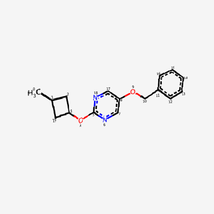 CC1CC(Oc2ncc(OCc3ccccc3)cn2)C1